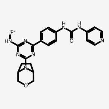 CC(C)Nc1nc(-c2ccc(NC(=O)Nc3ccncc3)cc2)nc(N2C3CCC2COC3)n1